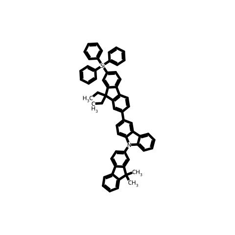 CCC1(CC)c2cc(-c3ccc4c(c3)c3ccccc3n4-c3ccc4c(c3)C(C)(C)c3ccccc3-4)ccc2-c2ccc([Si](c3ccccc3)(c3ccccc3)c3ccccc3)cc21